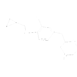 Clc1cc(CC2CNCCO2)ccc1OCC1CC1